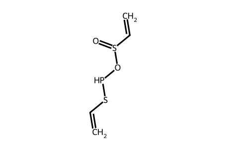 C=CSPOS(=O)C=C